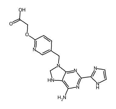 Nc1nc(-c2ncc[nH]2)nc2c1NCN2Cc1ccc(OCC(=O)O)nc1